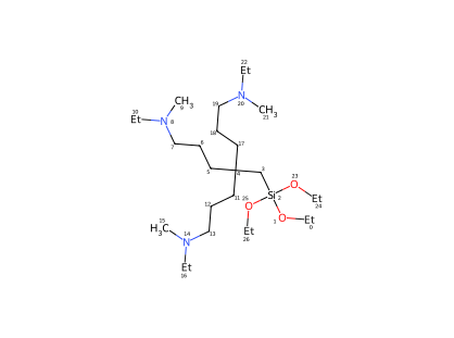 CCO[Si](CC(CCCN(C)CC)(CCCN(C)CC)CCCN(C)CC)(OCC)OCC